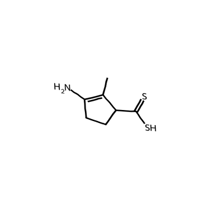 CC1=C(N)CCC1C(=S)S